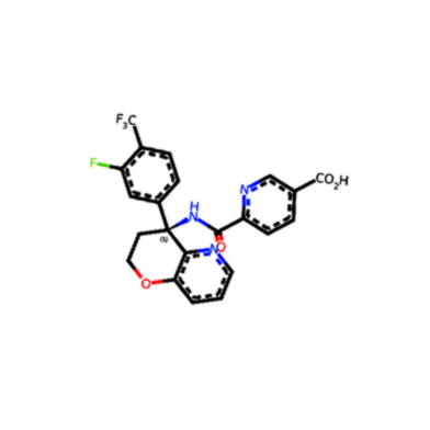 O=C(O)c1ccc(C(=O)N[C@]2(c3ccc(C(F)(F)F)c(F)c3)CCOc3cccnc32)nc1